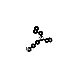 c1cncc(-c2ccc(-c3ccc(-c4cc(-c5ccc6ccccc6c5)nc(-c5cccc(-c6cccc7ccccc67)c5)n4)cc3)cc2)c1